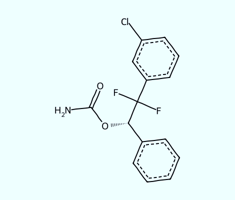 NC(=O)O[C@@H](c1ccccc1)C(F)(F)c1cccc(Cl)c1